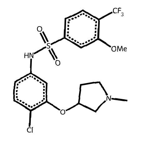 COc1cc(S(=O)(=O)Nc2ccc(Cl)c(OC3CCN(C)C3)c2)ccc1C(F)(F)F